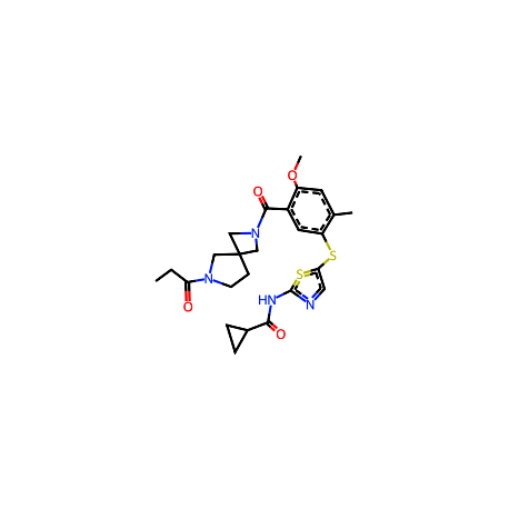 CCC(=O)N1CCC2(C1)CN(C(=O)c1cc(Sc3cnc(NC(=O)C4CC4)s3)c(C)cc1OC)C2